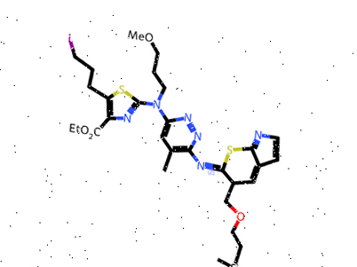 CCOC(=O)c1nc(N(CCCOC)c2cc(C)c(/N=C3\SC4=NC=CC4=CC3COCC[Si](C)(C)C)nn2)sc1CCCI